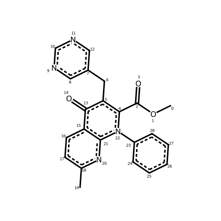 COC(=O)c1c(Cc2cncnc2)c(=O)c2ccc(C)nc2n1-c1ccccc1